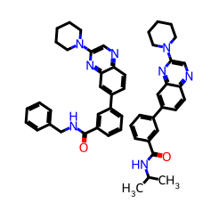 CC(C)NC(=O)c1cccc(-c2ccc3ncc(N4CCCCC4)nc3c2)c1.O=C(NCc1ccccc1)c1cccc(-c2ccc3ncc(N4CCCCC4)nc3c2)c1